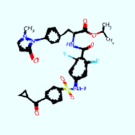 CC(C)OC(=O)[C@H](Cc1ccc(-n2c(=O)ccn2C)cc1)NC(=O)c1c(F)cc(NS(=O)(=O)c2ccc(C(=O)C3CC3)cc2)cc1F